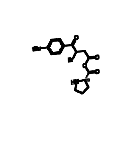 CC(C)(C)c1ccc(C(=O)C(Br)CC(=O)OC(=O)[C@@H]2CCCN2)cc1